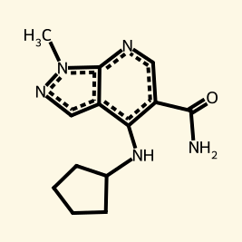 Cn1ncc2c(NC3CCCC3)c(C(N)=O)cnc21